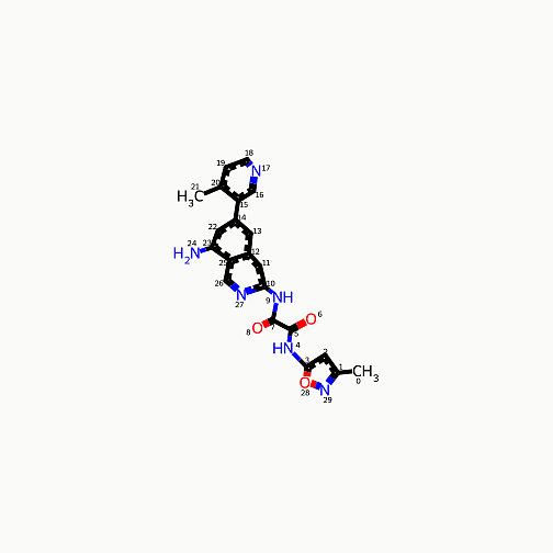 Cc1cc(NC(=O)C(=O)Nc2cc3cc(-c4cnccc4C)cc(N)c3cn2)on1